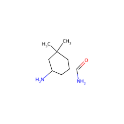 CC1(C)CCCC(N)C1.NC=O